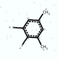 Cc1cc(C)c(I)c(I)c1